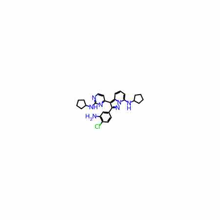 Nc1cc(-c2nn3c(NC4CCCC4)cccc3c2-c2ccnc(NC3CCCC3)n2)ccc1Cl